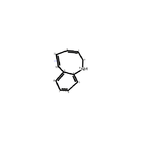 C1=CCNc2ccccc2/C=C\1